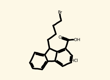 Cl.O=C(O)c1cccc2c1C(CCCCBr)c1ccccc1-2